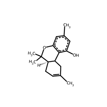 CC1=CC[C@@H]2C(C1)c1c(O)cc(C)cc1OC2(C)C